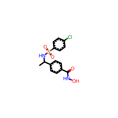 CC(NS(=O)(=O)c1ccc(Cl)cc1)c1ccc(C(=O)NO)cc1